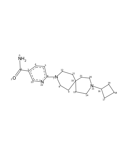 NC(=O)c1ccc(N2CCC3(CC2)CCN(C2CCC2)CC3)nc1